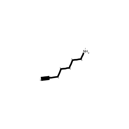 [C]#CCCCCCN